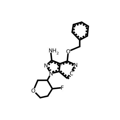 Nc1nn(C2COCCC2F)c2ccnc(OCc3ccccc3)c12